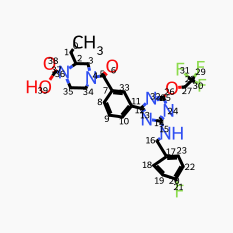 CCC1CN(C(=O)c2cccc(-c3nc(NCc4ccc(F)cc4)nc(OCC(F)(F)F)n3)c2)CCN1C(=O)O